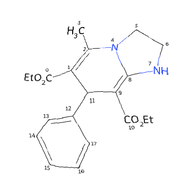 CCOC(=O)C1=C(C)N2CCNC2=C(C(=O)OCC)C1c1ccccc1